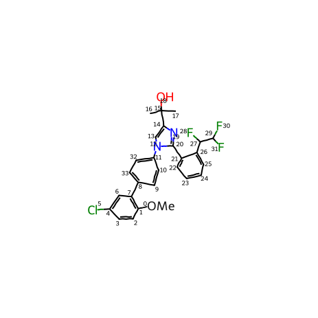 COc1ccc(Cl)cc1-c1ccc(-n2cc(C(C)(C)O)nc2-c2ccccc2C(F)C(F)F)cc1